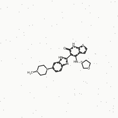 CN1CCN(c2ccc3nc(-c4c(N[C@@H]5CCOC5)c5ccsc5[nH]c4=O)[nH]c3c2)CC1